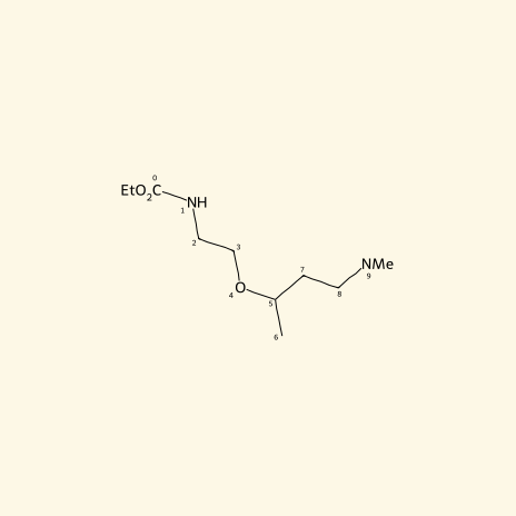 CCOC(=O)NCCOC(C)CCNC